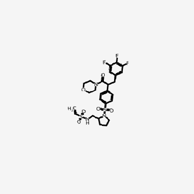 C=CS(=O)(=O)NCC1CCCN1S(=O)(=O)c1ccc(C(Cc2cc(F)c(F)c(F)c2)C(=O)N2CCOCC2)cc1